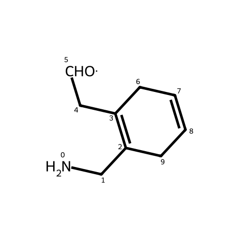 NCC1=C(C[C]=O)CC=CC1